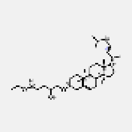 CCO[SiH2]CCC(O)CO[C@H]1CC[C@@]2(C)C(=CC=C3[C@@H]4CC[C@H]([C@H](C)/C=C/[C@@H](C)C(C)C)[C@@]4(C)CC[C@@H]32)C1